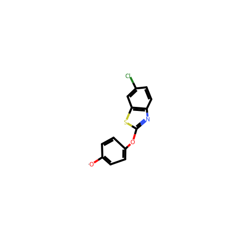 [O]c1ccc(Oc2nc3ccc(Cl)cc3s2)cc1